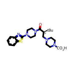 CC(C)(C)[C@@H](CN1CCN(C(=O)O)CC1)C(=O)N1CCN(c2nc3ccccc3s2)CC1